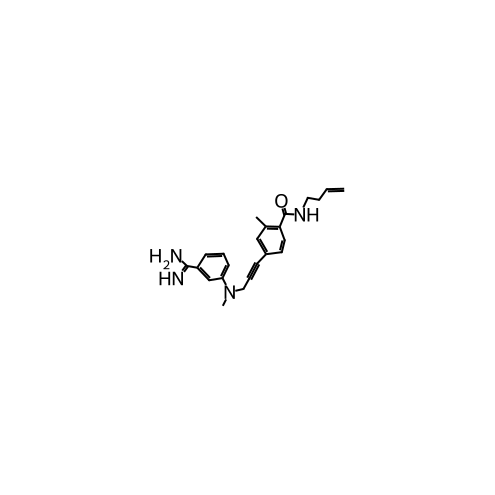 C=CCCNC(=O)c1ccc(C#CCN(C)c2cccc(C(=N)N)c2)cc1C